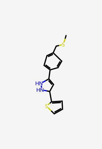 CSCc1ccc(C2=CC(c3cccs3)NN2)cc1